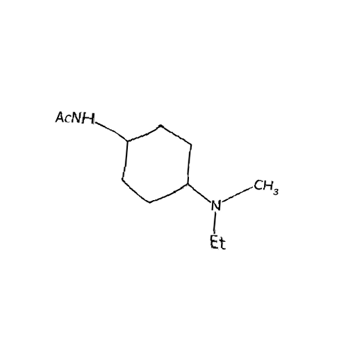 CCN(C)C1CCC(NC(C)=O)CC1